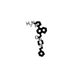 Nc1cccc(-c2ccc(CC(=O)N3CCN(CCc4ccccc4)CC3)c3ccccc23)n1